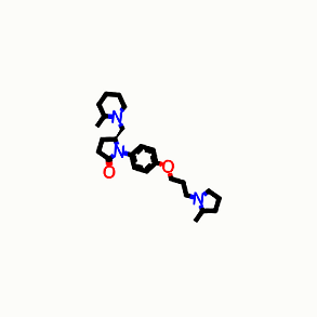 CC1CCCN1CCCOc1ccc(N2C(=O)CC[C@H]2CN2CCCCC2C)cc1